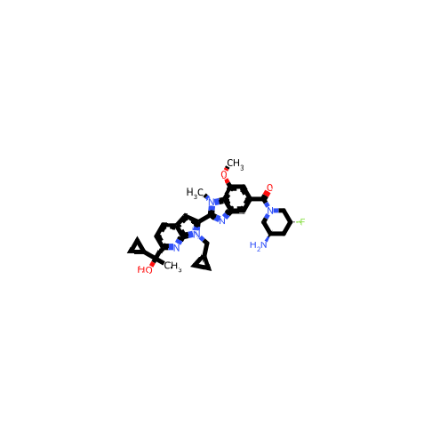 COc1cc(C(=O)N2C[C@H](N)C[C@@H](F)C2)cc2nc(-c3cc4ccc(C(C)(O)C5CC5)nc4n3CC3CC3)n(C)c12